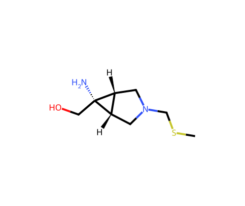 CSCN1C[C@@H]2[C@H](C1)[C@@]2(N)CO